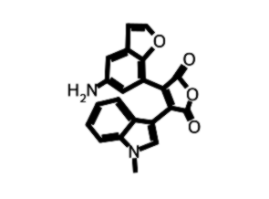 Cn1cc(C2=C(c3cc(N)cc4ccoc34)C(=O)OC2=O)c2ccccc21